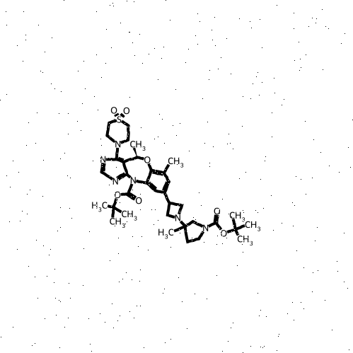 Cc1cc(C2CN(C3(C)CCN(C(=O)OC(C)(C)C)C3)C2)cc2c1O[C@H](C)c1c(N3CCS(=O)(=O)CC3)ncnc1N2C(=O)OC(C)(C)C